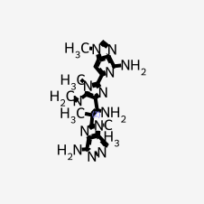 C=Nc1c(/C(N)=C(\C)c2nc3c(N)nncc3n2C)nc(-c2cc3c(ncn3C)c(N)n2)n1C